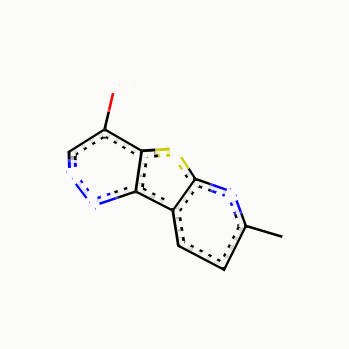 Cc1ccc2c(n1)sc1c(O)cnnc12